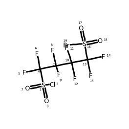 O=S(=O)(Cl)C(F)(F)C(F)(F)C(F)(F)C(F)(F)S(=O)(=O)Br